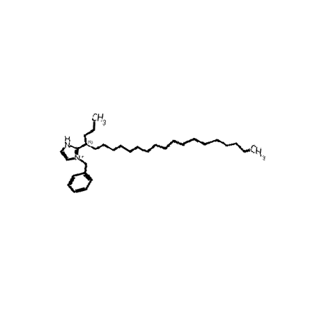 CCCCCCCCCCCCCCCCCC[C@H](CCC)c1[nH]cc[n+]1Cc1ccccc1